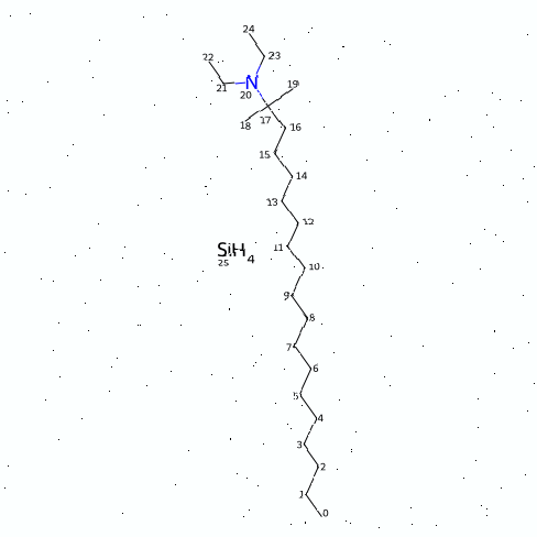 CCCCCCCCCCCCCCCCCC(C)(C)N(CC)CC.[SiH4]